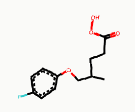 CC(CCC(=O)OO)COc1ccc(F)cc1